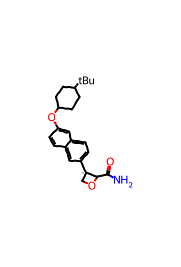 CC(C)(C)C1CCC(Oc2ccc3cc([C]4COC4C(N)=O)ccc3c2)CC1